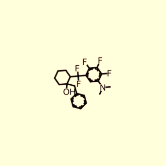 CN(C)c1cc(C(F)(F)C2CCCCC2(O)Cc2ccccc2)c(F)c(F)c1F